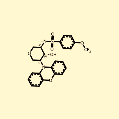 O=S(=O)(N[C@@H]1COC[C@H](N2c3ccccc3Oc3ccccc32)[C@H]1O)c1ccc(OC(F)(F)F)cc1